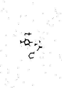 CCN(C(=N)COC1CCCCO1)C(=O)Nc1cc(O[C@@H](C)C(F)(F)F)c(C(=O)O)cc1F